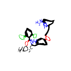 Nc1cccc(CCOc2ccc(C[C@H](NC(=O)c3c(Cl)cccc3Cl)C(=O)O)cc2)n1